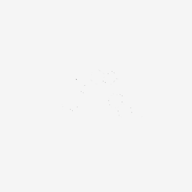 O=C(O)N[C@H]1CCN([C@H](c2ccc3nnc(-c4ccc5ccc(Br)cc5n4)n3c2)C(F)(F)F)C1